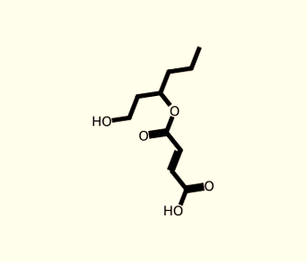 CCCC(CCO)OC(=O)C=CC(=O)O